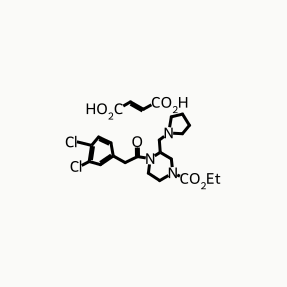 CCOC(=O)N1CCN(C(=O)Cc2ccc(Cl)c(Cl)c2)C(CN2CCCC2)C1.O=C(O)/C=C/C(=O)O